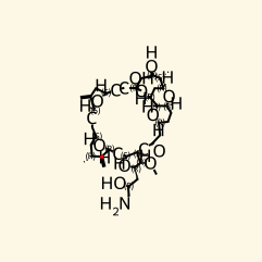 C=C1C[C@@H]2CC[C@@]3(O)C[C@@H](O)[C@H](C)[C@H]4C[C@@H](O3)[C@H]3O[C@H](CC[C@@H]3O4)CC(=O)C[C@@H]3[C@@H](OC)[C@@H](C[C@H](O)CN)O[C@H]3C[C@H]3O[C@@H](CC[C@@H]1O2)C[C@@H](C)C3=C